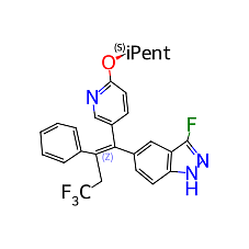 CCC[C@H](C)Oc1ccc(/C(=C(/CC(F)(F)F)c2ccccc2)c2ccc3[nH]nc(F)c3c2)cn1